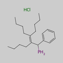 CCCCC(CCCC)=C(CCCC)C(P)c1ccccc1.Cl